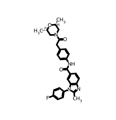 Cc1nc2ccc(C(=O)Nc3ccc(CC(=O)N4C[C@@H](C)O[C@@H](C)C4)cc3)cc2n1-c1ccc(F)cc1